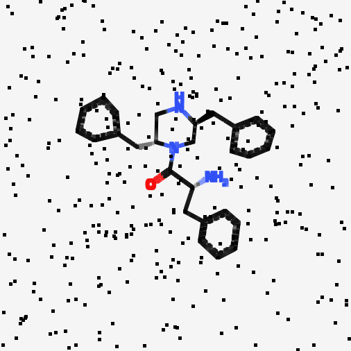 N[C@H](Cc1ccccc1)C(=O)N1C[C@H](Cc2ccccc2)NC[C@H]1Cc1ccccc1